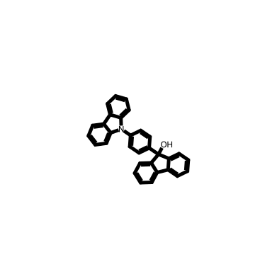 OC1(c2ccc(-n3c4ccccc4c4ccccc43)cc2)c2ccccc2-c2ccccc21